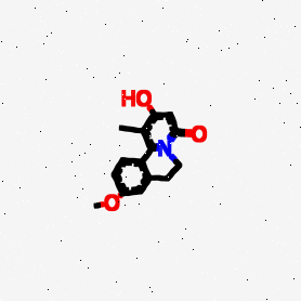 COc1ccc2c(c1)CCn1c-2c(C)c(O)cc1=O